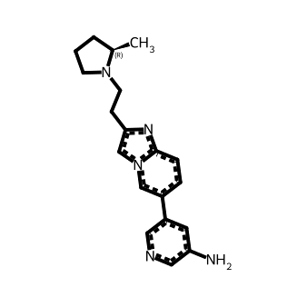 C[C@@H]1CCCN1CCc1cn2cc(-c3cncc(N)c3)ccc2n1